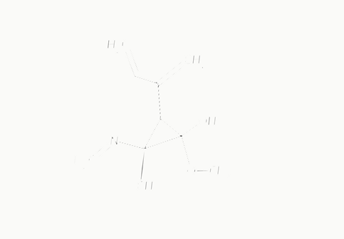 C=CC(=C)C1C(C)(N=C)C1(O)OC